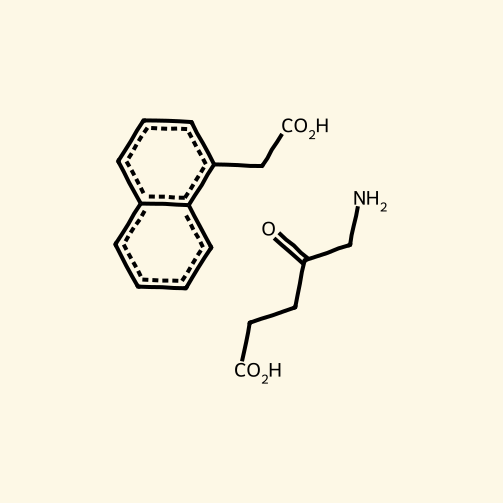 NCC(=O)CCC(=O)O.O=C(O)Cc1cccc2ccccc12